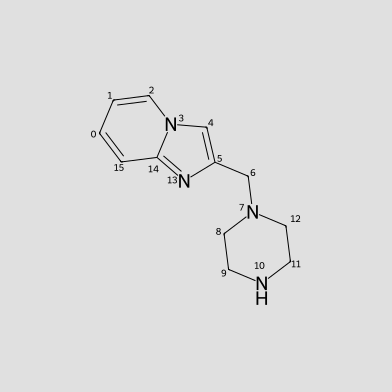 c1ccn2cc(CN3CCNCC3)nc2c1